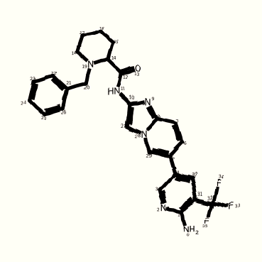 Nc1ncc(-c2ccc3nc(NC(=O)C4CCCCN4Cc4ccccc4)cn3c2)cc1C(F)(F)F